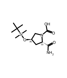 CC(C)(C)[Si](C)(C)O[C@@H]1C[C@@H](C(N)=O)N(C(=O)O)C1